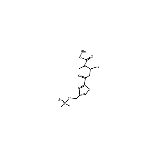 CC(C)C(CC(=O)c1nc(CO[Si](C)(C)C(C)(C)C)cs1)N(C)C(=O)OC(C)(C)C